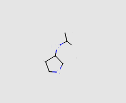 CC(C)NC1CCNC1.Cl